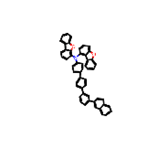 c1cc(-c2ccc(-c3ccc(N(c4cccc5c4oc4ccccc45)c4cccc5oc6ccccc6c45)cc3)cc2)cc(-c2ccc3ccccc3c2)c1